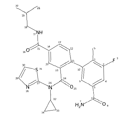 Cc1c(F)cc(C(N)=O)cc1-c1ccc(C(=O)NCC(C)C)cc1C(=O)N(c1nccs1)C1CC1